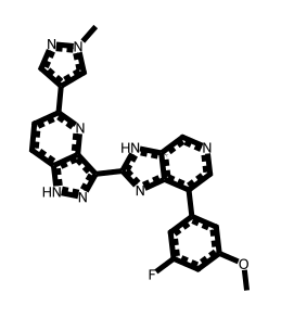 COc1cc(F)cc(-c2cncc3[nH]c(-c4n[nH]c5ccc(-c6cnn(C)c6)nc45)nc23)c1